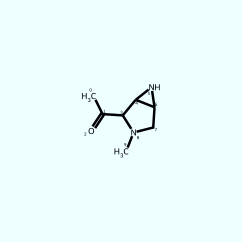 CC(=O)C1C2NC2CN1C